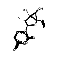 C=C[C@]12O[C@@H](n3ccc(=O)[nH]c3=O)[C@H](F)[C@@]1(O)C2O